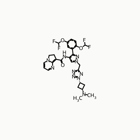 CN(C)[C@H]1C[C@H](n2nnc(Cn3cc(NC(=O)C4=C5N=CC=CN5CC4)c(-c4cc(OC(F)F)ccc4OC(F)F)n3)n2)C1